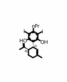 C=C(C)[C@@H]1CCC(C)=C[C@H]1c1c(O)c(I)c(CCC)c(I)c1O